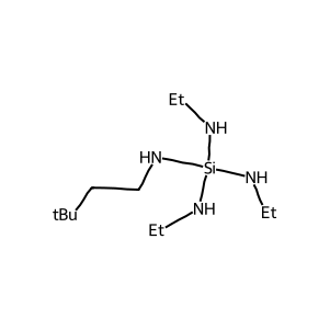 CCN[Si](NCC)(NCC)NCCC(C)(C)C